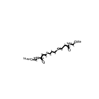 COCNC(=O)CCSCCCSCCC(=O)NCOC